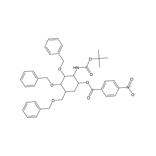 CC(C)(C)OC(=O)NC1C(OC(=O)c2ccc([N+](=O)[O-])cc2)CC(COCc2ccccc2)C(OCc2ccccc2)C1OCc1ccccc1